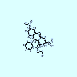 CCOC(O)c1ccccc1-c1c2ccc(=[N+](C)C)cc-2oc2cc(N(C)C)ccc12